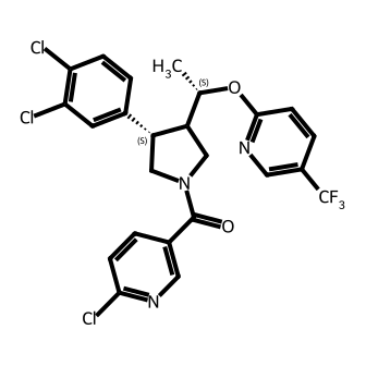 C[C@H](Oc1ccc(C(F)(F)F)cn1)C1CN(C(=O)c2ccc(Cl)nc2)C[C@@H]1c1ccc(Cl)c(Cl)c1